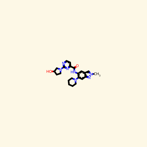 Cn1cc2cc(NC(=O)c3ccnc(N4CCC(O)C4)n3)c(N3CCCCC3)cc2n1